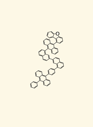 c1ccc(-c2c3ccccc3c(-c3ccc(-c4cccc5ccc(-c6ccc7cccc(-c8c9ccccc9c(-c9cccc%10oc%11ccccc%11c9%10)c9ccccc89)c7c6)cc45)cc3)c3ccccc23)cc1